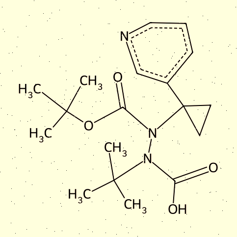 CC(C)(C)OC(=O)N(N(C(=O)O)C(C)(C)C)C1(c2cccnc2)CC1